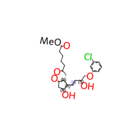 COC(=O)CCCCC(=O)C[C@H]1C(=O)C[C@@H](O)[C@@H]1/C=C/[C@H](O)COc1cccc(Cl)c1